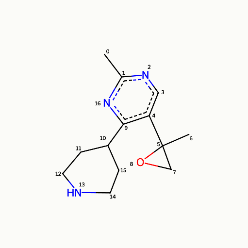 Cc1ncc(C2(C)CO2)c(C2CCNCC2)n1